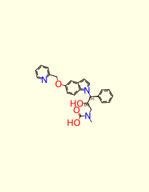 CN(C[C@@H](O)[C@H](c1ccccc1)n1ccc2cc(OCc3ccccn3)ccc21)C(=O)O